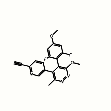 C#Cc1ccc(-c2c(C)nnc(OC)c2-c2c(F)cc(OC)cc2F)cn1